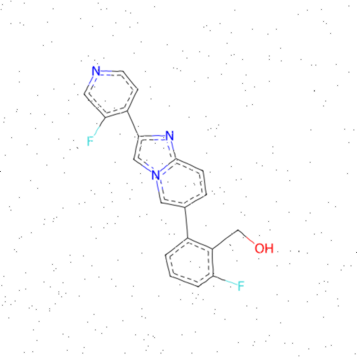 OCc1c(F)cccc1-c1ccc2nc(-c3ccncc3F)cn2c1